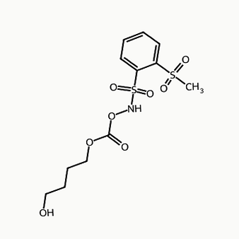 CS(=O)(=O)c1ccccc1S(=O)(=O)NOC(=O)OCCCCO